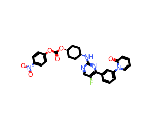 O=C(Oc1ccc([N+](=O)[O-])cc1)O[C@H]1CC[C@H](Nc2ncc(F)c(-c3cccc(-n4ccccc4=O)c3)n2)CC1